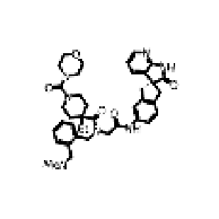 CCC1(C(=O)N(CC(=O)Nc2ccc3c(c2)C[C@@]2(C3)C(=O)Nc3ncccc32)Cc2ccccc2CNC)CCN(C(=O)N2CCOCC2)CC1